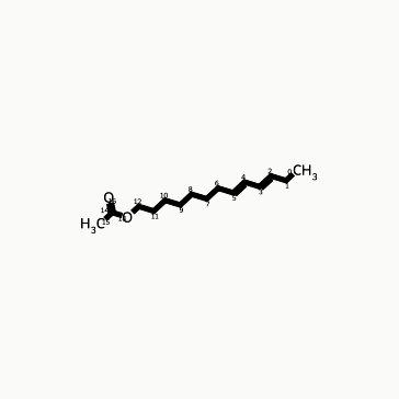 CCC=CC=CCCCCCCCOC(C)=O